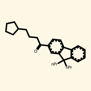 CCCC1(CCC)c2ccccc2-c2ccc(C(=O)CCCC3CCCC3)cc21